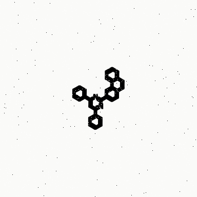 c1ccc(-c2cc(-c3ccccc3)nc(-c3ccc4ccc5ccccc5c4c3)n2)cc1